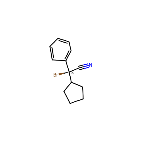 N#C[C@@](Br)(c1ccccc1)C1CCCC1